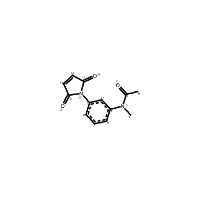 CC(=O)N(C)c1cccc(N2C(=O)C=CC2=O)c1